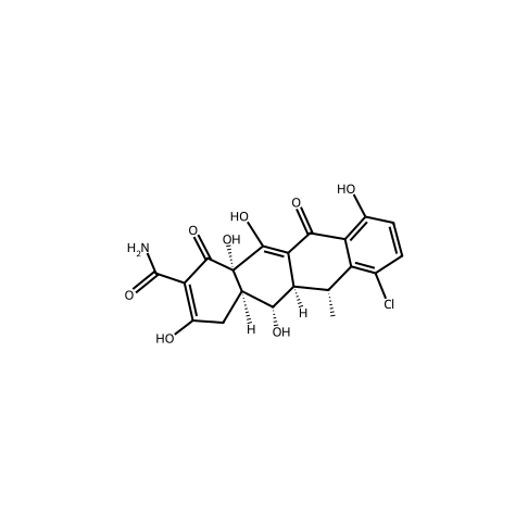 C[C@H]1c2c(Cl)ccc(O)c2C(=O)C2=C(O)[C@]3(O)C(=O)C(C(N)=O)=C(O)C[C@@H]3[C@@H](O)[C@@H]21